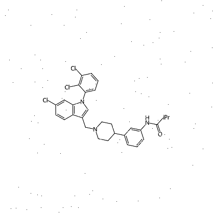 CC(C)C(=O)Nc1cccc(C2CCN(Cc3cn(-c4cccc(Cl)c4Cl)c4cc(Cl)ccc34)CC2)c1